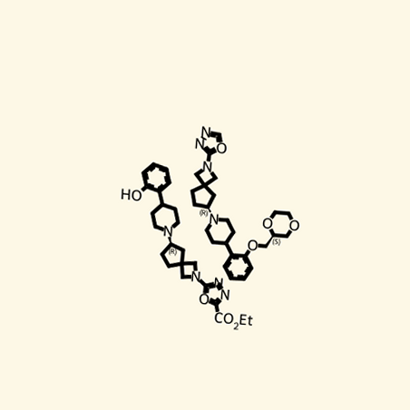 CCOC(=O)c1nnc(N2CC3(CC[C@@H](N4CCC(c5ccccc5O)CC4)C3)C2)o1.c1ccc(C2CCN([C@@H]3CCC4(C3)CN(c3nnco3)C4)CC2)c(OC[C@@H]2COCCO2)c1